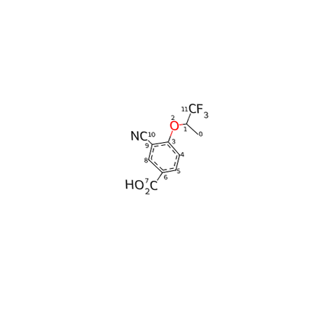 CC(Oc1ccc(C(=O)O)cc1C#N)C(F)(F)F